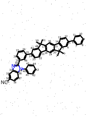 CC1(C)c2cc(-c3ccccc3)ccc2-c2cc3c(cc21)-c1ccc(-c2cccc(-c4nc5cc(C#N)ccc5n4-c4ccccc4)c2)cc1C3(C)C